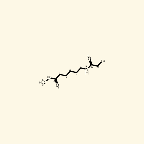 CSC(=O)CCCCCNC(=O)CI